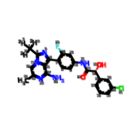 [2H]C([2H])([2H])c1nc(-c2ccc(NC(=O)[C@H](O)c3cccc(Cl)c3)cc2F)c2c(N)nc(C)cn12